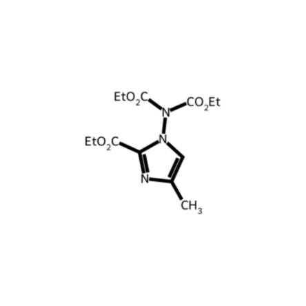 CCOC(=O)c1nc(C)cn1N(C(=O)OCC)C(=O)OCC